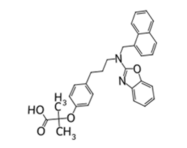 CC(C)(Oc1ccc(CCCN(Cc2cccc3ccccc23)c2nc3ccccc3o2)cc1)C(=O)O